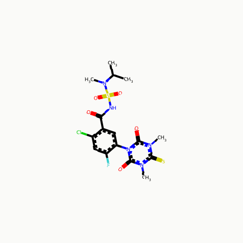 CC(C)N(C)S(=O)(=O)NC(=O)c1cc(-n2c(=O)n(C)c(=S)n(C)c2=O)c(F)cc1Cl